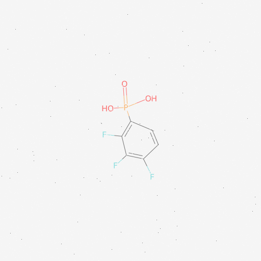 O=P(O)(O)c1ccc(F)c(F)c1F